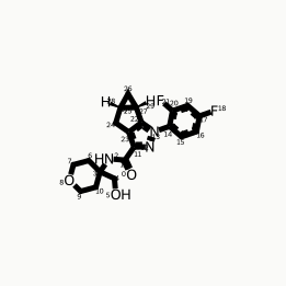 O=C(NC1(CO)CCOCC1)c1nn(-c2ccc(F)cc2F)c2c1C[C@@H]1C[C@H]21